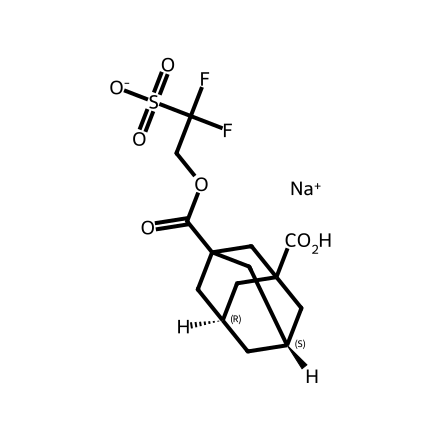 O=C(O)C12C[C@H]3C[C@@H](C1)CC(C(=O)OCC(F)(F)S(=O)(=O)[O-])(C3)C2.[Na+]